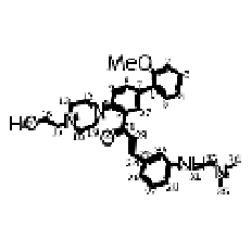 COc1ccccc1-c1ccc(N2CCN(CCO)CC2)c(C(=O)C=Cc2cccc(NCCN(C)C)c2)c1